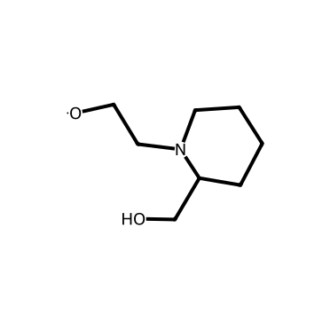 [O]CCN1CCCCC1CO